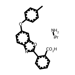 CC(C)N.Cc1ccc(Oc2ccc3nc(-c4ccccc4C(=O)O)oc3c2)cc1